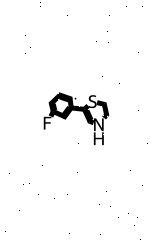 Fc1cc[c]c(C2=CNCCS2)c1